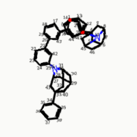 c1ccc(C23CC4CC(C2)N(c2cccc(-c5cccc(-c6cccc(N7C8CC9CC7CC(c7ccccc7)(C9)C8)c6)c5)c2)C(C4)C3)cc1